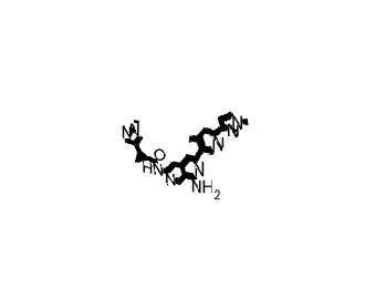 Cc1cc(-c2ccn(C)n2)ncc1-c1cc2cc(NC(=O)C3CC3c3cnn(C)c3)ncc2c(N)n1